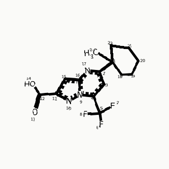 CC1(c2cc(C(F)(F)F)n3nc(C(=O)O)cc3n2)CCCCC1